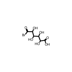 O=C(O)C(O)C(O)C(O)C(O)C(=O)Br